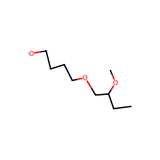 CCC(COCCCC[O])OC